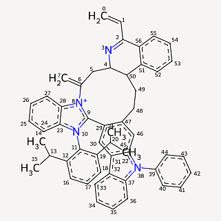 C=CC1=NC2CC(=C)[n+]3c(n(-c4c(C(C)C)cccc4C(C)C)c4ccccc43)-c3cc4c5ccccc5n(-c5ccccc5)c4cc3CCC2c2ccccc21